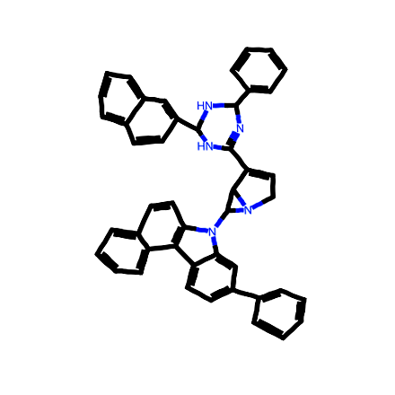 C1=C(C2=NC(c3ccccc3)NC(c3ccc4ccccc4c3)N2)C2C(n3c4cc(-c5ccccc5)ccc4c4c5ccccc5ccc43)N2C1